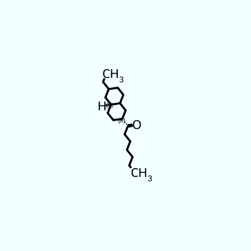 CCCCCCC(=O)[C@@H]1CC[C@@H]2CC(CC)CCC2C1